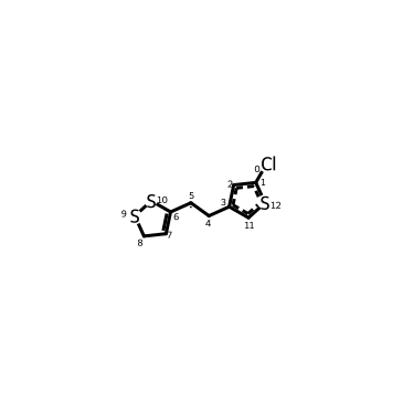 Clc1cc(C[CH]C2=CCSS2)cs1